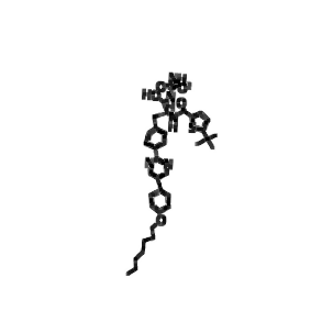 CCCCCCCOc1ccc(-c2cnc(-c3ccc(C[C@H](NC(=O)c4ccc(C(C)(C)C)s4)C(O)NS(N)(=O)=O)cc3)nc2)cc1